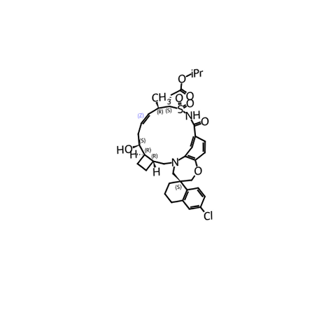 CC(C)OC(=O)C[C@H]1[C@H](C)/C=C\C[C@H](O)[C@@H]2CC[C@H]2CN2C[C@@]3(CCCc4cc(Cl)ccc43)COc3ccc(cc32)C(=O)NS1(=O)=O